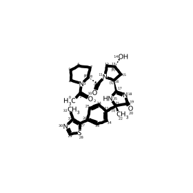 CC(=O)N1CCCC[C@@H]1C(=O)N1C[C@H](O)C[C@H]1C1=NC(=O)[C@](C)(c2ccc(-c3scnc3C)cc2)N1